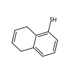 Sc1cccc2c1CC=CC2